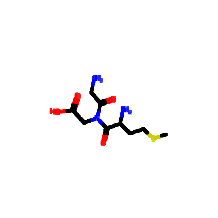 CSCCC(N)C(=O)N(CC(=O)O)C(=O)CN